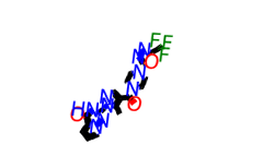 Cc1c(C(=O)N2CCN(c3nnc(C(F)(F)F)o3)CC2)cnn1-c1nn2cccc2c(=O)[nH]1